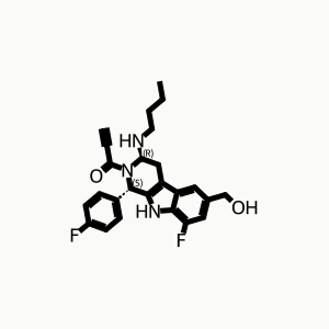 C#CC(=O)N1[C@@H](c2ccc(F)cc2)c2[nH]c3c(F)cc(CO)cc3c2C[C@@H]1NCCCC